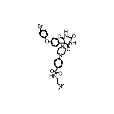 CN(C)CCNS(=O)(=O)c1ccc(N2CCN(C3(c4ccc(Oc5ccc(Br)cc5)cc4)C(=O)NC(=O)NC3=O)CC2)cc1